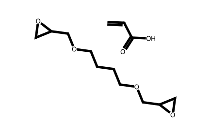 C(CCOCC1CO1)COCC1CO1.C=CC(=O)O